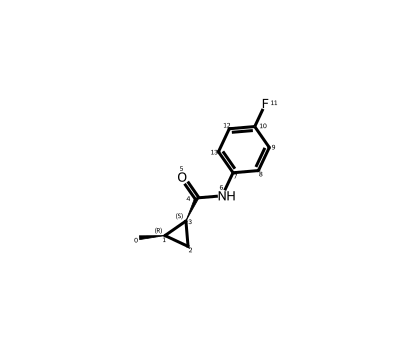 C[C@@H]1C[C@@H]1C(=O)Nc1ccc(F)cc1